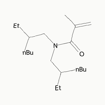 C=C(C)C(=O)N(CC(CC)CCCC)CC(CC)CCCC